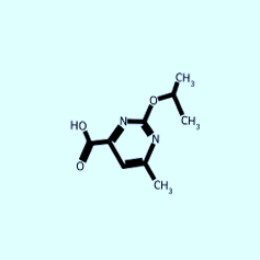 Cc1cc(C(=O)O)nc(OC(C)C)n1